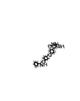 N=C(COc1ccc(COc2ccc(C(CC(=O)O)C(N)=O)cc2)cc1)c1ccccc1